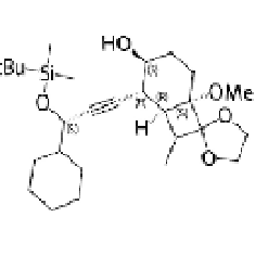 CO[C@@]12CC[C@H](O)[C@@H](C#C[C@@H](O[Si](C)(C)C(C)(C)C)C3CCCCC3)[C@@H]1C(C)C21OCCO1